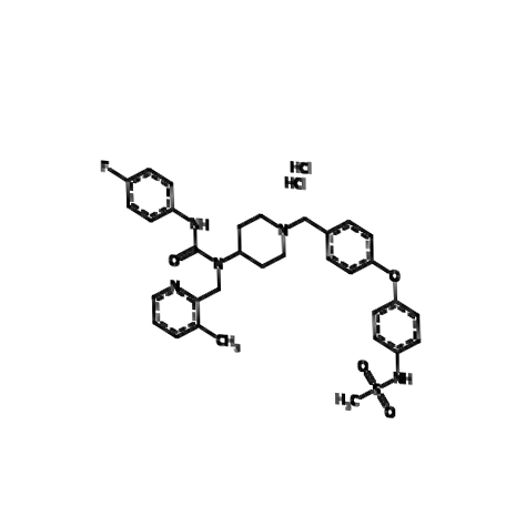 Cc1cccnc1CN(C(=O)Nc1ccc(F)cc1)C1CCN(Cc2ccc(Oc3ccc(NS(C)(=O)=O)cc3)cc2)CC1.Cl.Cl